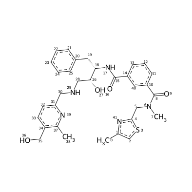 Cc1csc(CN(C)C(=O)c2cccc(C(=O)N[C@@H](Cc3ccccc3)[C@H](O)CNCc3ccc(CO)c(C)n3)c2)n1